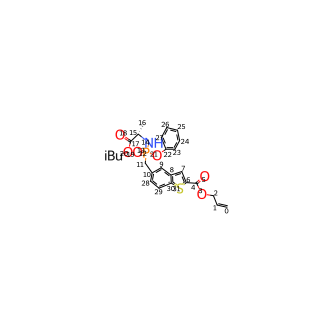 C=CCOC(=O)c1cc2cc(CP(=O)(N[C@@H](C)C(=O)O[C@H](C)CC)Oc3ccccc3)ccc2s1